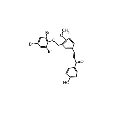 COc1ccc(/C=C/C(=O)c2ccc(O)cc2)cc1COc1c(Br)cc(Br)cc1Br